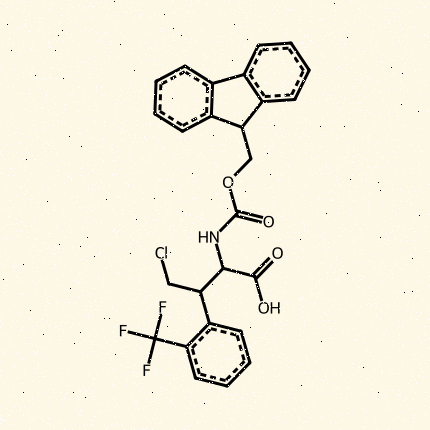 O=C(NC(C(=O)O)C(CCl)c1ccccc1C(F)(F)F)OCC1c2ccccc2-c2ccccc21